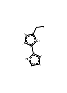 CCc1nnc(-c2ccco2)s1